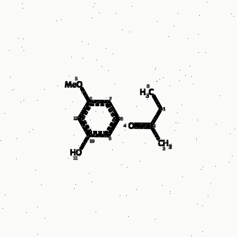 CCC(C)=O.COc1cccc(O)c1